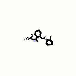 C/C(=C/C(=O)O)c1ccccc1COc1ccccc1C